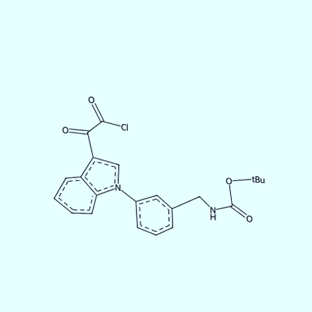 CC(C)(C)OC(=O)NCc1cccc(-n2cc(C(=O)C(=O)Cl)c3ccccc32)c1